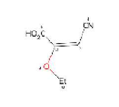 CCOC(=CC#N)C(=O)O